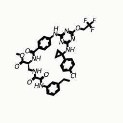 CCc1cccc(NC(=O)C(=O)NC[C@H](NC(=O)c2ccc(Nc3nc(NC4(c5ccc(Cl)cc5)CC4)nc(OCC(F)(F)F)n3)cc2)C(=O)OC)c1